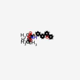 COC(=O)[C@@H](CSc1cccc(-c2cccc(-c3cccc4c3oc3ccccc34)c2)c1)NC(=O)OC(C)(C)C